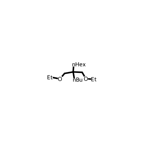 CCCCCCC(CCCC)(COCC)COCC